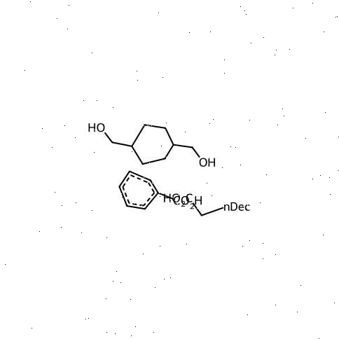 CCCCCCCCCCCC(=O)O.O=C(O)c1ccccc1.OCC1CCC(CO)CC1